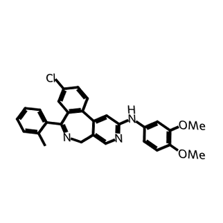 COc1ccc(Nc2cc3c(cn2)CN=C(c2ccccc2C)c2cc(Cl)ccc2-3)cc1OC